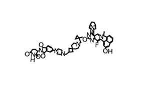 CCc1cccc2cc(O)cc(-c3ncc4c(N5CC6CCC(C5)N6)nc(OCC5(CN6CCC7(CC6)CC(CN6CCN(c8ccc9c(c8)C(=O)N(C8CCC(=O)NC8=O)C9=O)CC6)C7)CC5)nc4c3F)c12